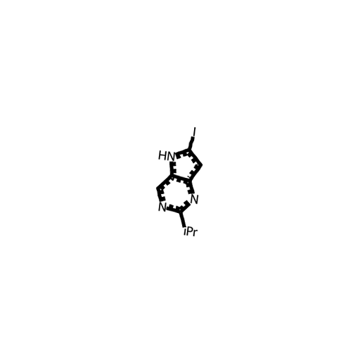 CC(C)c1ncc2[nH]c(I)cc2n1